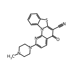 CN1CCN(c2ccc3c(=O)c(C#N)c4sc5ccccc5n4c3n2)CC1